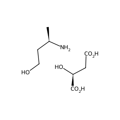 C[C@@H](N)CCO.O=C(O)C[C@H](O)C(=O)O